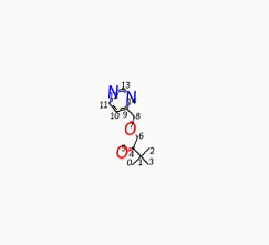 CC(C)(C)C(=O)COCc1ccncn1